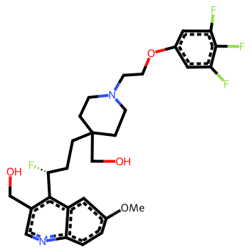 COc1ccc2ncc(CO)c([C@H](F)CCC3(CO)CCN(CCOc4cc(F)c(F)c(F)c4)CC3)c2c1